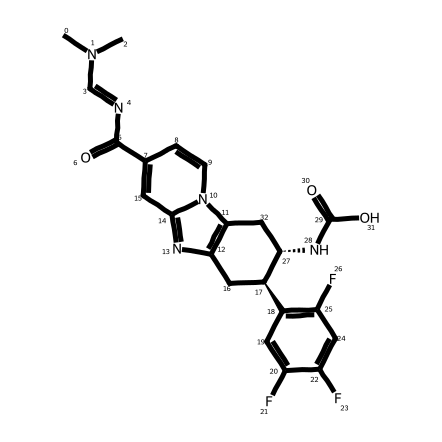 CN(C)C=NC(=O)c1ccn2c3c(nc2c1)C[C@H](c1cc(F)c(F)cc1F)[C@@H](NC(=O)O)C3